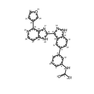 CCC(=O)Nc1cncc(-c2ccc3[nH]nc(-c4nc5c(-c6ccoc6)nccc5[nH]4)c3c2)c1